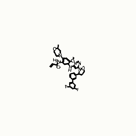 C=CC(=O)Nc1cc(Nc2cc(N3OCCC3c3cccc(-c4cc(F)cc(F)c4)c3)ncn2)c(OC)cc1N1CCOC(C)C1